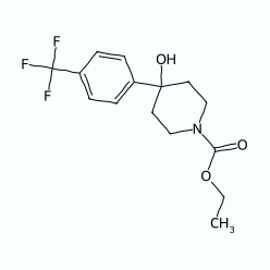 CCOC(=O)N1CCC(O)(c2ccc(C(F)(F)F)cc2)CC1